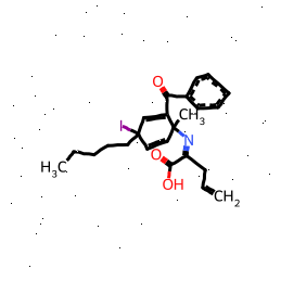 C=CCC(=NC1(C)C=CC(I)(CCCCC)C=C1C(=O)c1ccccc1)C(=O)O